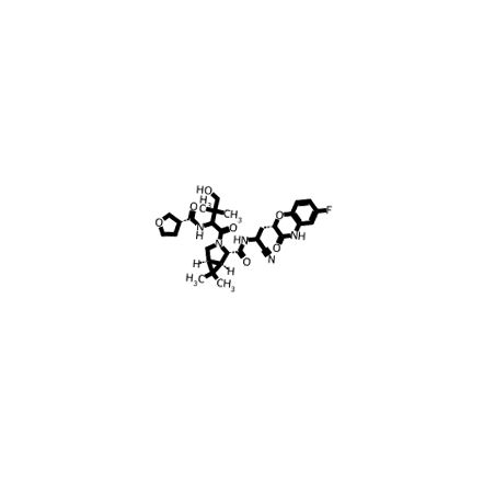 CC(C)(CO)C(NC(=O)[C@@H]1CCOC1)C(=O)N1C[C@H]2[C@@H]([C@H]1C(=O)NC(C#N)C[C@@H]1Oc3ccc(F)cc3NC1=O)C2(C)C